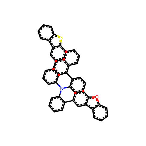 c1cc(-c2ccc3sc4ccccc4c3c2)cc(N(c2ccccc2-c2ccc3oc4ccccc4c3c2)c2ccccc2-c2cccc3ccccc23)c1